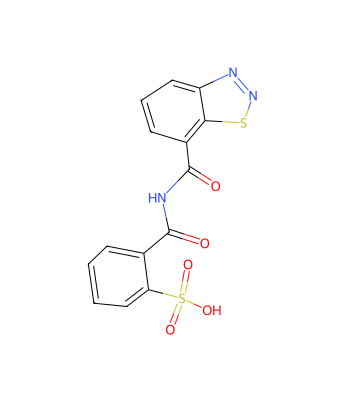 O=C(NC(=O)c1cccc2nnsc12)c1ccccc1S(=O)(=O)O